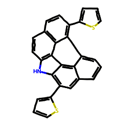 c1csc(-c2cc3cccc4c5c(-c6cccs6)ccc6ccc7[nH]c2c(c34)c7c65)c1